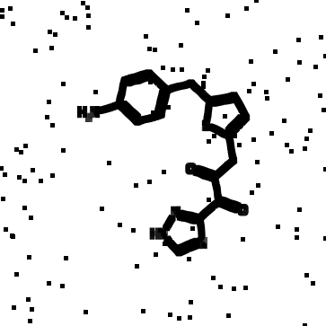 Nc1ccc(Cc2ccc(CC(=O)C(=O)c3nc[nH]n3)s2)cc1